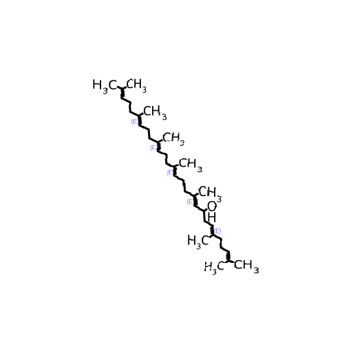 CC(C)=CCC/C(C)=C/CC/C(C)=C/CC/C(C)=C/CC/C(C)=C/C(O)C/C=C(\C)CCC=C(C)C